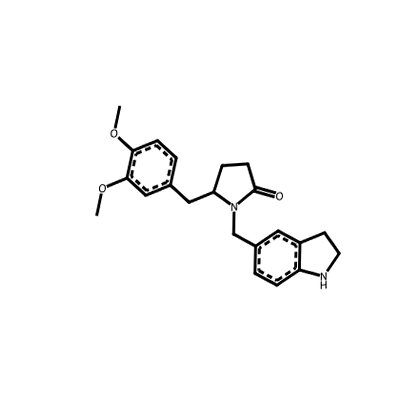 COc1ccc(CC2CCC(=O)N2Cc2ccc3c(c2)CCN3)cc1OC